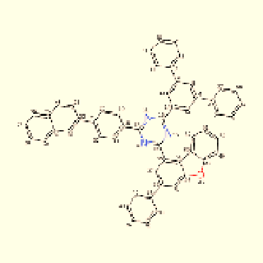 c1ccc(-c2cc(-c3ccccc3)cc(-c3nc(-c4ccc(-c5ccc6ccccc6c5)cc4)nc(-c4cc(-c5ccccc5)cc5oc6ccccc6c45)n3)c2)cc1